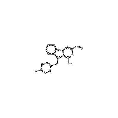 Cc1nc(C=O)cc2c3ccccc3n(Cc3ccc(F)cc3)c12